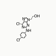 OCCn1cnc2c(Cl)nc(Nc3ccc(Cl)cc3)nc21